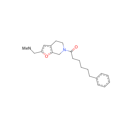 CNCc1cc2c(o1)CN(C(=O)CCCCCc1ccccc1)CC2